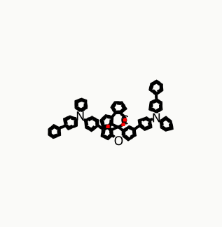 c1ccc(-c2ccc(N(c3ccccc3)c3ccc(-c4ccc5c(c4)C4(c6cc(-c7ccc(N(c8ccccc8)c8ccc(-c9ccccc9)cc8)cc7)ccc6O5)c5ccccc5-c5ccccc5-c5ccccc54)cc3)cc2)cc1